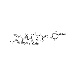 COc1ccc(COC(=O)CN2CC[C@@H](NC(=O)c3cc(Cl)c(N)nc3OC)[C@H](OC)C2)cc1